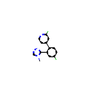 Cn1cnnc1-c1cc(Cl)ccc1-c1ccnc(Cl)c1